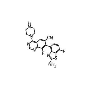 N#Cc1cc2c(N3CCNCC3)ncnc2c(F)c1-c1ccc(F)c2sc(N)nc12